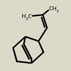 CC(C)=CC1CC2C=CC1CC2